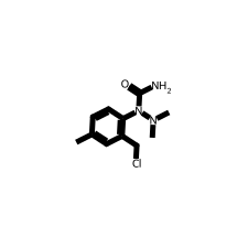 Cc1ccc(N(C(N)=O)N(C)C)c(CCl)c1